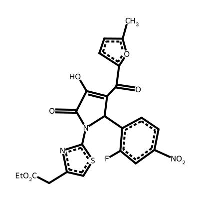 CCOC(=O)Cc1csc(N2C(=O)C(O)=C(C(=O)c3ccc(C)o3)C2c2ccc([N+](=O)[O-])cc2F)n1